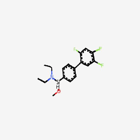 CCN(CC)[SiH](OC)c1ccc(-c2cc(F)c(F)cc2F)cc1